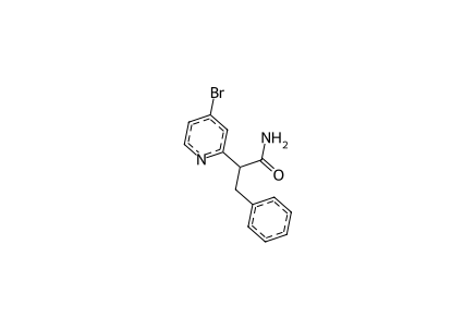 NC(=O)C(Cc1ccccc1)c1cc(Br)ccn1